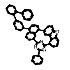 c1ccc(-c2nc(-c3ccccc3)nc(-c3cccc4oc5ccc(-c6ccc(-c7cccc(-c8ccccc8-c8ccccc8)c7)cc6)cc5c34)n2)cc1